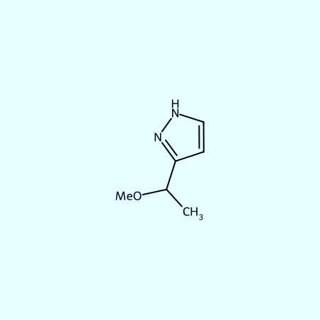 COC(C)c1cc[nH]n1